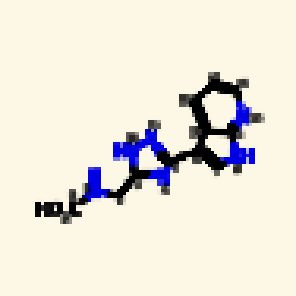 O=C(O)NCc1nc(-c2c[nH]c3ncccc23)n[nH]1